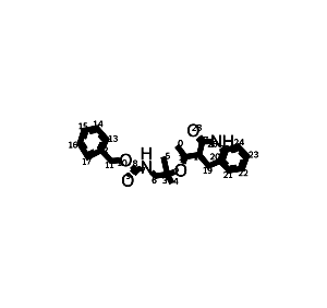 CC(OC(C)(C)CNC(=O)OCc1ccccc1)C1Cc2ccccc2NC1=O